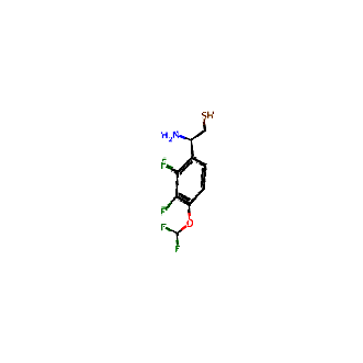 NC(CS)c1ccc(OC(F)F)c(F)c1F